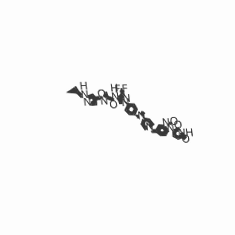 CN(C[C@H]1CC[C@H](n2cc(NC(=O)c3coc(-c4ccnc(NCC5CC5)c4)n3)c(C(F)F)n2)CC1)C1CCN(Cc2ccc3c(c2)n(C)c(=O)n3C2CCC(=O)NC2=O)CC1